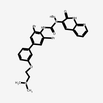 CCCCN(C(=O)Nc1c(C(C)C)cc(-c2cccc(OCCN(C)C)c2)cc1C(C)C)c1cc2cccnc2[nH]c1=O